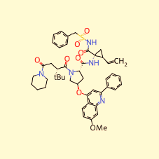 C=C[C@@H]1C[C@]1(NC(=O)[C@@H]1C[C@@H](Oc2cc(-c3ccccc3)nc3cc(OC)ccc23)CN1C(=O)[C@@H](CC(=O)N1CCCCC1)C(C)(C)C)C(=O)NS(=O)(=O)Cc1ccccc1